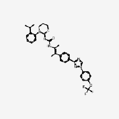 C/C(NC(=O)/N=C1\SCCCN1c1ccccc1C(C)C)=C(/C)c1ccc(-c2ncn(-c3ccc(OC(F)(F)F)cc3)n2)cc1